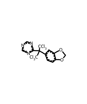 ClC(Cl)(Cl)C(c1ccc2c(c1)OCO2)(c1ncncn1)C(Cl)(Cl)Cl